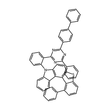 c1ccc(-c2ccc(-c3nc(-c4ccccc4)nc(-c4ccccc4-n4c5ccccc5c5c6c(ccc54)sc4cccc(-c5ccccc5)c46)n3)cc2)cc1